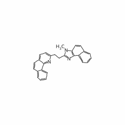 Cn1c(CCc2ccc3ccc4ccccc4c3n2)nc2c3ccccc3ccc21